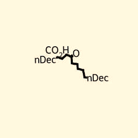 CCCCCCCCCCCCCCCC(=O)C(CCCCCCCCCCCC)C(=O)O